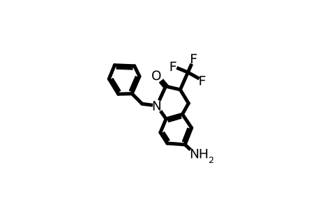 Nc1ccc2c(c1)CC(C(F)(F)F)C(=O)N2Cc1ccccc1